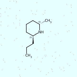 CCC[C@H]1CCC[C@H](C)N1